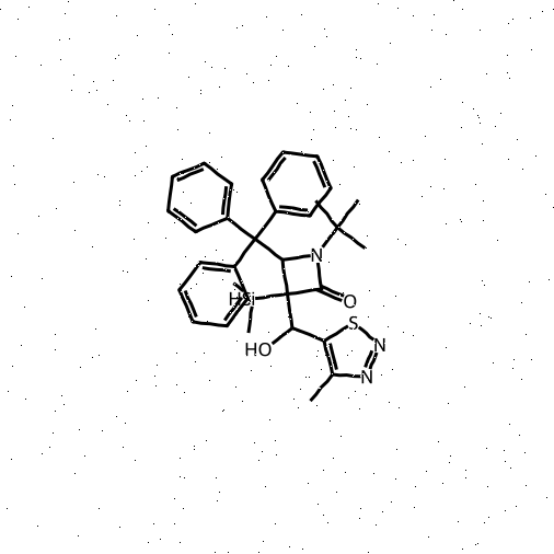 Cc1nnsc1C(O)C1([SiH](C)C)C(=O)N(C(C)(C)C)C1C(c1ccccc1)(c1ccccc1)c1ccccc1